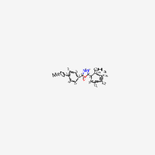 COc1ccc(-c2nnc(-c3ccccc3C)o2)cc1